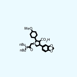 CCCCN(CCCC)C(=O)CN1CC(c2ccc3c(c2)OCO3)C(C(=O)O)C1C1CCC(OC)CC1